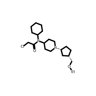 CCOC[C@H]1CC[C@@H](N2CCC(N(C(=O)CCl)C3CCCCC3)CC2)C1